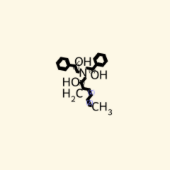 C=C(/C=C\C=C/C)[C@@H](O)CN(C[C@@H](O)c1ccccc1)C[C@H](O)c1ccccc1